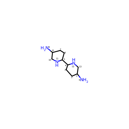 NC1CCC(C2CCC(N)CN2)NC1